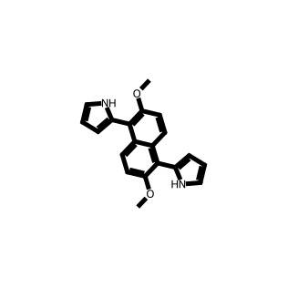 COc1ccc2c(-c3ccc[nH]3)c(OC)ccc2c1-c1ccc[nH]1